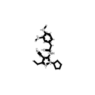 CCc1nn(C2CCCC2)c(NC(=O)Cc2ccc(OC)c(OC)c2)c1C#N